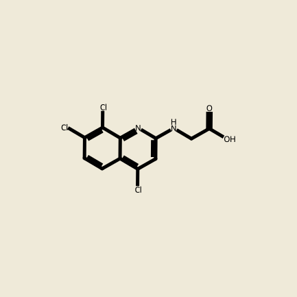 O=C(O)CNc1cc(Cl)c2ccc(Cl)c(Cl)c2n1